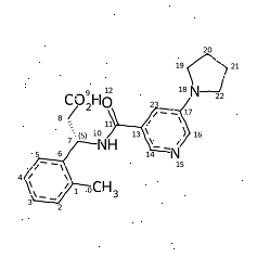 Cc1ccccc1[C@H](CC(=O)O)NC(=O)c1cncc(N2CCCC2)c1